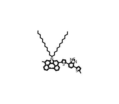 CCCCCCCCCCCCC(CCCCCCCCCCCC)n1c2cc(C)c3cccc4c5cccc6c(-c7ccc(-c8ccc(-c9ccc(C)s9)c9nsnc89)s7)cc1c(c65)c2c34